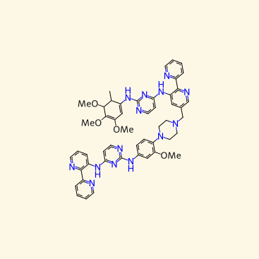 COC1=C(OC)C(OC)C(C)C(Nc2nccc(Nc3cc(CN4CCN(c5ccc(Nc6nccc(Nc7cccnc7-c7ccccn7)n6)cc5OC)CC4)cnc3-c3ccccn3)n2)=C1